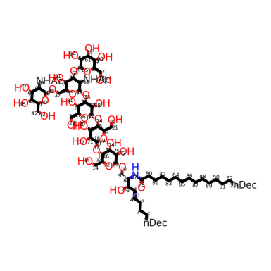 CCCCCCCCCCCCC/C=C/[C@@H](O)[C@H](CO[C@@H]1OC(CO)[C@@H](O[C@@H]2OC(CO)[C@H](O[C@@H]3OC(CO)[C@H](O)[C@H](O[C@@H]4OC(CO[C@@H]5OC(CO)[C@@H](O)[C@H](O)C5NC(C)=O)[C@H](O)[C@H](O[C@@H]5OC(CO)[C@H](O)[C@H](O)C5O)C4NC(C)=O)C3O)[C@H](O)C2O)[C@H](O)C1O)NC(=O)CCCCCCCCCCCCCCCCCCCCCCC